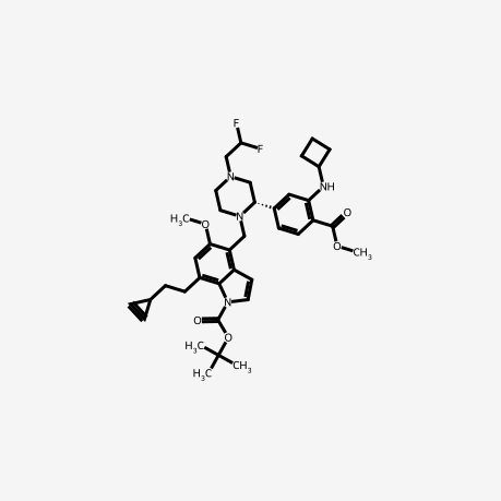 COC(=O)c1ccc([C@H]2CN(CC(F)F)CCN2Cc2c(OC)cc(CCC3C#C3)c3c2ccn3C(=O)OC(C)(C)C)cc1NC1CCC1